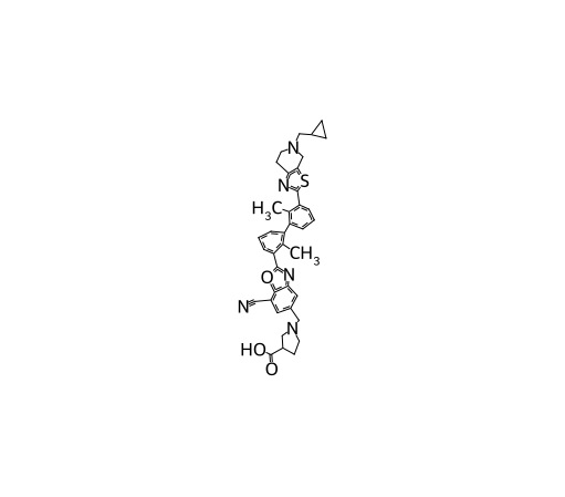 Cc1c(-c2nc3cc(CN4CCC(C(=O)O)C4)cc(C#N)c3o2)cccc1-c1cccc(-c2nc3c(s2)CN(CC2CC2)CC3)c1C